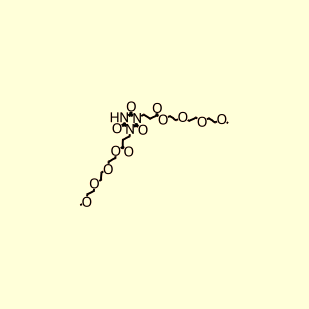 COCCOCCOCCOC(=O)CCn1c(=O)[nH]c(=O)n(CCC(=O)OCCOCCOCCOC)c1=O